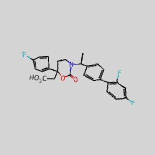 CC(c1ccc(-c2ccc(F)cc2F)cc1)N1CCC(CC(=O)O)(c2ccc(F)cc2)OC1=O